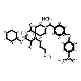 CCCCN1C(=O)[C@H](CC2CCCCC2)NC(=O)C12CCN(Cc1ccc(Oc3ccc([S+](C)[O-])cc3)cc1)CC2.Cl